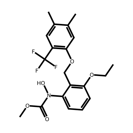 CCOc1cccc(N(O)C(=O)OC)c1COc1cc(C)c(C)cc1C(F)(F)F